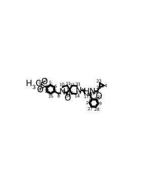 CS(=O)(=O)c1ccc(CN2CCC3(CCN(CC[C@H](NC(=O)C4CC4)c4ccccc4)CC3)C2=O)cc1